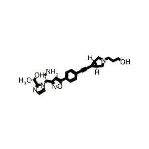 C[C@H](O)c1nccn1[C@H](CN)c1cc(-c2ccc(C#CC3[C@H]4CN(CCCO)C[C@@H]34)cc2)on1